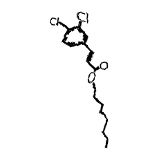 CCCCCCCCOC(=O)C=Cc1ccc(Cl)c(Cl)c1